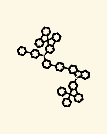 c1ccc(-c2ccc(N(c3cccc(-c4ccc(-c5ccc6c7ccccc7n(-c7ccc8c(c7)-c7ccccc7C8(c7ccccc7)c7ccccc7)c6c5)cc4)c3)c3ccc4c(c3)C3(c5ccccc5-c5ccccc53)c3ccccc3-4)cc2)cc1